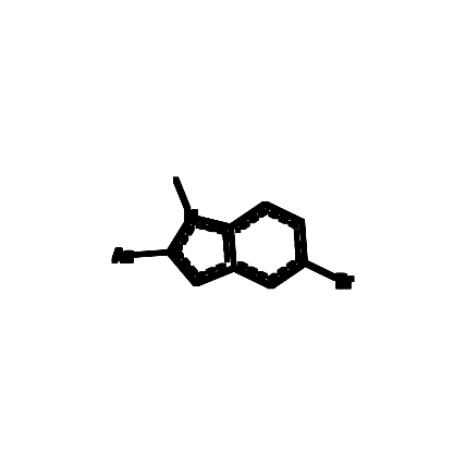 CC(=O)c1cc2cc(Br)ccc2n1C